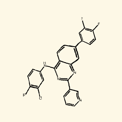 Fc1ccc(-c2ccc3c(Nc4ccc(F)c(Cl)c4)nc(-c4cccnc4)nc3c2)cc1F